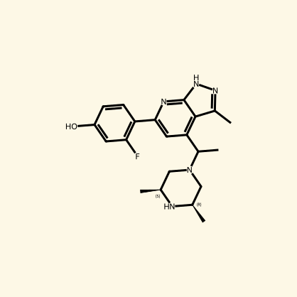 Cc1n[nH]c2nc(-c3ccc(O)cc3F)cc(C(C)N3C[C@@H](C)N[C@@H](C)C3)c12